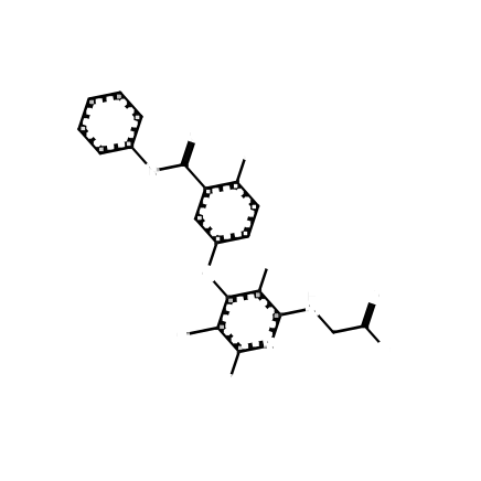 O=C(O)CNc1nc(F)c(Cl)c(Oc2ccc(O)c(C(=O)Nc3ccccc3)c2)c1Cl